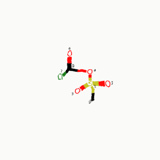 CS(=O)(=O)OC(=O)Cl